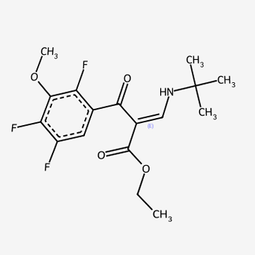 CCOC(=O)/C(=C/NC(C)(C)C)C(=O)c1cc(F)c(F)c(OC)c1F